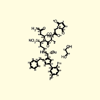 C[C@H](NC(=O)CN1C(=O)C=CC1=O)C(=O)N([C@@H](CCN[C@@H](c1cc(-c2cc(F)ccc2F)cn1Cc1ccccc1)C(C)(C)C)C(=O)O)[C@@H](CC(N)=O)C(=O)O.OCCO